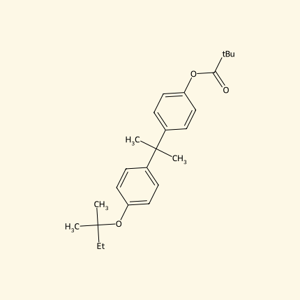 CCC(C)(C)Oc1ccc(C(C)(C)c2ccc(OC(=O)C(C)(C)C)cc2)cc1